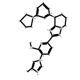 COc1nc(-c2nc3n(n2)CCC[C@@H]3c2cccc(N3CCCC3)c2)ccc1-n1cnc(C)c1